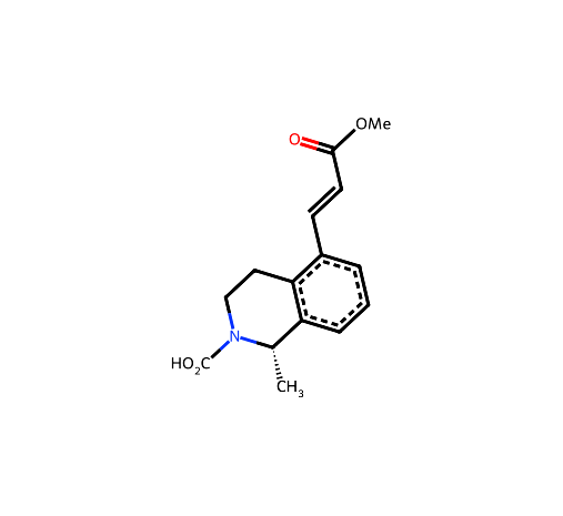 COC(=O)/C=C/c1cccc2c1CCN(C(=O)O)[C@H]2C